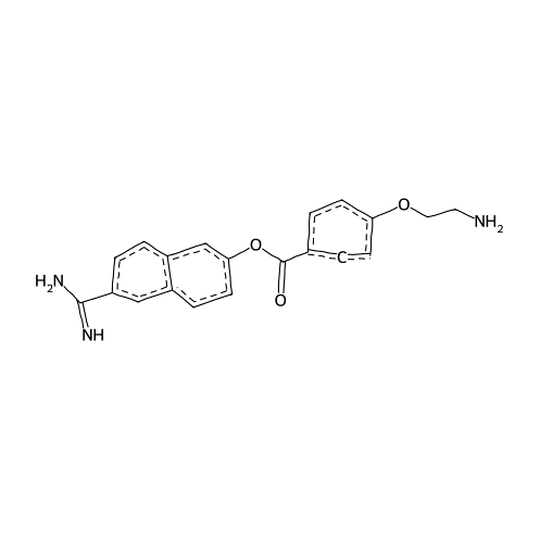 N=C(N)c1ccc2cc(OC(=O)c3ccc(OCCN)cc3)ccc2c1